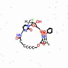 C[C@@H]1N[P@@](=O)(Oc2ccccc2)OCC2OC(n3ccc(nc3=O)NC(=O)CCCCCCCOC1=O)[C@](C)(F)[C@@H]2O